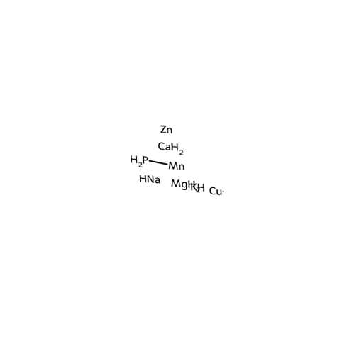 [CaH2].[Cu].[KH].[MgH2].[NaH].[PH2][Mn].[Zn]